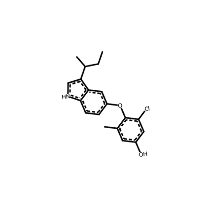 CCC(C)c1c[nH]c2ccc(Oc3c(C)cc(O)cc3Cl)cc12